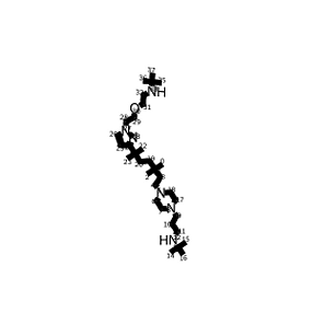 CC(C)(CCN1CCN(CCCNC(C)(C)C)CC1)CCC(C)(C)c1ccn(CCOCCNC(C)(C)C)n1